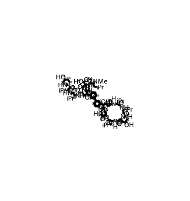 CN[C@@H](CC(C)C)C(=O)N[C@@H](C(=O)N1[C@H](C(=O)N[C@@H](C(=O)N[C@H](C(=O)N2CC[C@@H](O)CN2)C(C)C)C(C)C)C[C@@]2(O)c3cc(-c4ccc5c(c4)[C@]4(O)C[C@H]6C(=O)N[C@H](C(C)C)C(=O)N[C@@H](C(C)C)C(=O)N7NC[C@H](O)C[C@@H]7C(=O)N[C@@H](CC(C)C)C(=O)N[C@H]([C@H](C)O)C(=O)N6[C@@H]4N5)ccc3N[C@@H]12)[C@H](C)O